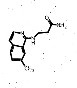 Cc1ccc2ccnc(NCCC(N)=O)c2c1